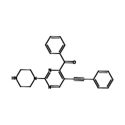 O=C(c1ccccc1)c1nc(N2CCNCC2)ncc1C#Cc1ccccc1